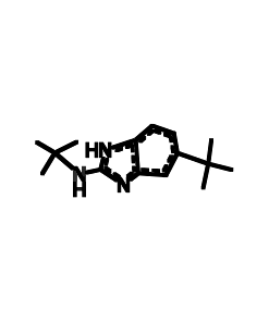 CC(C)(C)Nc1nc2cc(C(C)(C)C)ccc2[nH]1